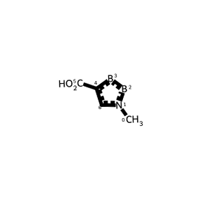 Cn1bbc(C(=O)O)c1